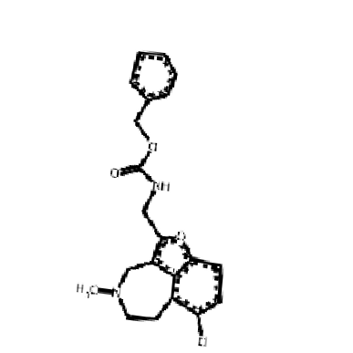 CN1CCc2c(Cl)ccc3oc(CNC(=O)OCc4ccccc4)c(c23)C1